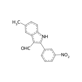 Cc1ccc2[nH]c(-c3cccc([N+](=O)[O-])c3)c(C=O)c2c1